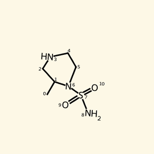 CC1CNCCN1S(N)(=O)=O